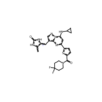 C=c1[nH]c(=O)[nH]/c1=C\c1cnn2c(NC3CC3)cc(-c3ccc(C(=O)N4CCC(F)(F)CC4)s3)nc12